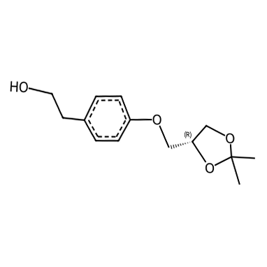 CC1(C)OC[C@@H](COc2ccc(CCO)cc2)O1